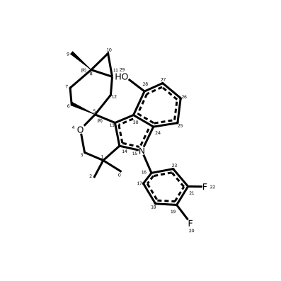 CC1(C)CO[C@@]2(CC[C@]3(C)CC3C2)c2c1n(-c1ccc(F)c(F)c1)c1cccc(O)c21